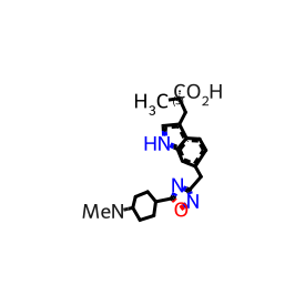 CNC1CCC(c2nc(Cc3ccc4c(C[C@H](C)C(=O)O)c[nH]c4c3)no2)CC1